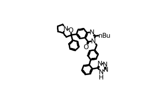 CCCCc1nc2ccc(C3(c4ccccc4)CC4CCCN4O3)cc2c(=O)n1Cc1ccc(-c2ccccc2-c2nnn[nH]2)cc1